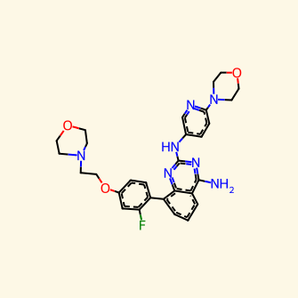 Nc1nc(Nc2ccc(N3CCOCC3)nc2)nc2c(-c3ccc(OCCN4CCOCC4)cc3F)cccc12